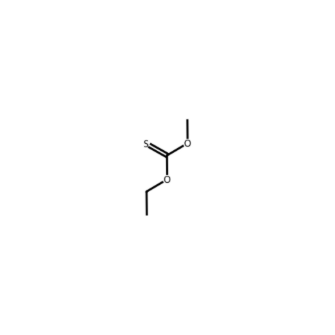 CCOC(=S)OC